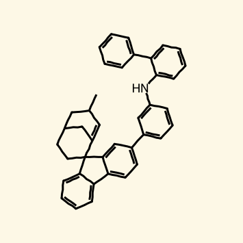 CC1C=C2CC(CCC23c2ccccc2-c2ccc(-c4cccc(Nc5ccccc5-c5ccccc5)c4)cc23)C1